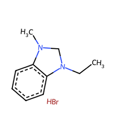 Br.CCN1CN(C)c2ccccc21